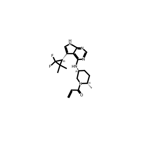 C=CC(=O)N1C[C@H](Nc2ncnc3[nH]cc([C@@H]4C(C)(C)C4(F)F)c23)CC[C@@H]1C